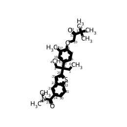 CCC(CC)(c1ccc(OCC(=O)C(C)(C)C)c(C)c1)c1cc2cc(C(=O)N(C)C)ccc2s1